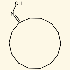 ON=C1CCCCCCCCCCCCC1